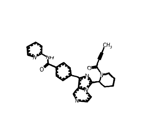 CC#CC(=O)N1CCCCC1c1nc(-c2ccc(C(=O)Nc3ccccn3)cc2)c2cnccn12